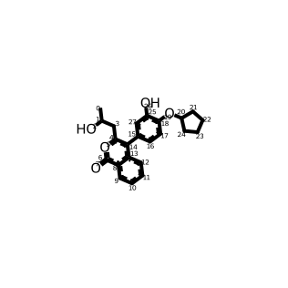 CC(O)Cc1oc(=O)c2ccccc2c1-c1ccc(OC2CCCC2)c(O)c1